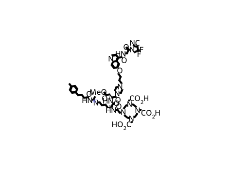 COC(=O)C[C@H](NC(=O)[C@H](CCCC/N=C(\C)NC(=O)CCCc1ccc(C)cc1)NC(=O)CN1CCN(CC(=O)O)CCN(CC(=O)O)CCN(CC(=O)O)CC1)C(=O)N1CCN(CCCCOc2ccc3nccc(C(=O)NCC(=O)N4CC(F)(F)C[C@@H]4C#N)c3c2)CC1